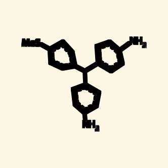 CSc1ccc(C(c2ccc(N)cc2)c2ccc(N)cc2)cc1